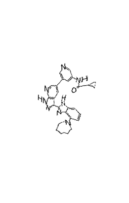 O=C(Nc1cncc(-c2cnc3[nH]nc(-c4nc5c(N6CCCCC6)cccc5[nH]4)c3c2)c1)C1CC1